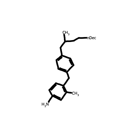 CCCCCCCCCCCCC(C)Cc1ccc(Cc2ccc(N)cc2C)cc1